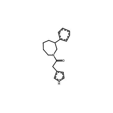 O=C(Cc1cc[nH]c1)N1CCCCC(c2ccccc2)C1